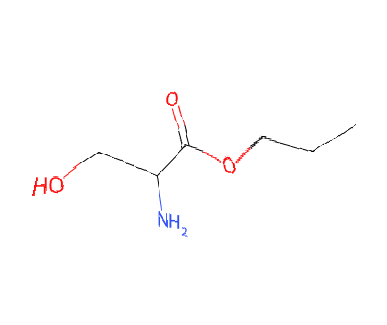 CCCOC(=O)C(N)CO